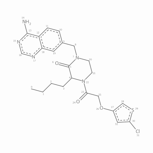 CCCCC1C(=O)N(Cc2ccc3c(N)ncnc3c2)CCN1C(=O)COc1csc(Cl)c1